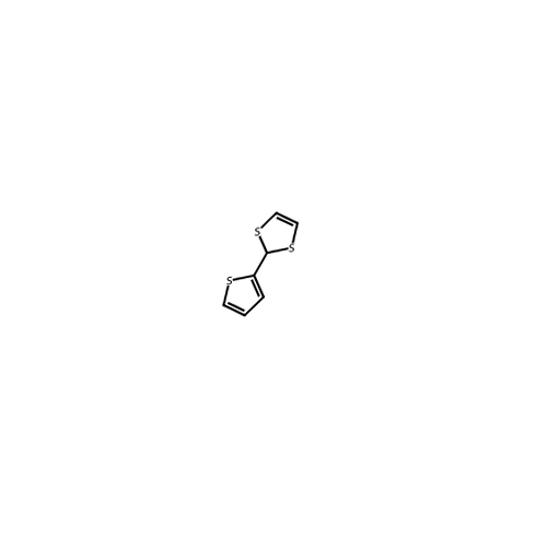 C1=CSC(c2cccs2)S1